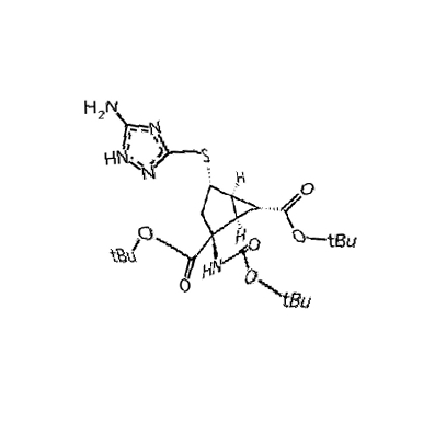 CC(C)(C)OC(=O)N[C@@]1(C(=O)OC(C)(C)C)C[C@H](Sc2n[nH]c(N)n2)[C@H]2[C@H](C(=O)OC(C)(C)C)[C@H]21